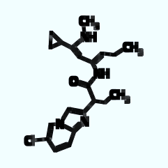 CC/C=C(/C=C(\NC)C1CC1)NC(=O)C(CC)c1cn2cc(Cl)ccc2n1